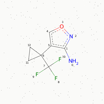 Nc1nocc1C1(C(F)(F)F)CC1